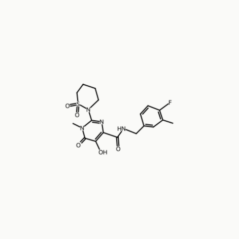 Cc1cc(CNC(=O)c2nc(N3CCCCS3(=O)=O)n(C)c(=O)c2O)ccc1F